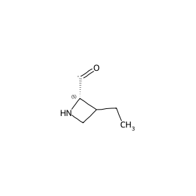 CCC1CN[C@@H]1[C]=O